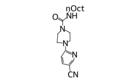 CCCCCCCCNC(=O)N1CCN(c2ccc(C#N)cn2)CC1